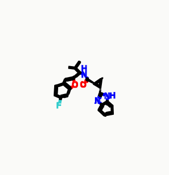 CC(C)C(NC(=O)[C@H]1C[C@@H]1c1nc2ccccc2[nH]1)c1cc2ccc(F)cc2o1